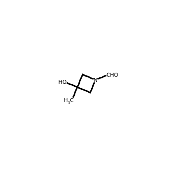 CC1(O)CN(C=O)C1